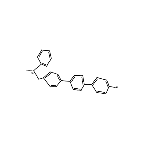 C[C@@H](Cc1ccc(-c2ccc(-c3ccc(F)cc3)cc2)cc1)c1ccccc1